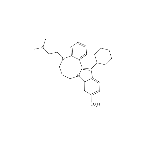 CN(C)CCN1CCCn2c(c(C3CCCCC3)c3ccc(C(=O)O)cc32)-c2ccccc21